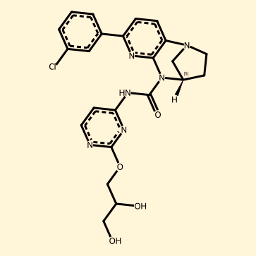 O=C(Nc1ccnc(OCC(O)CO)n1)N1c2nc(-c3cccc(Cl)c3)ccc2N2CC[C@H]1C2